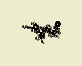 C#CCC(NC(=O)[C@@H]1[C@@H]2[C@H](CN1C(=O)[C@@H](NC(=O)N[C@H](CN(C)S(=O)(=O)c1ccccc1)C(C)(C)C)C(C)(C)C)C2(C)C)C(=O)C(=O)NCC=C